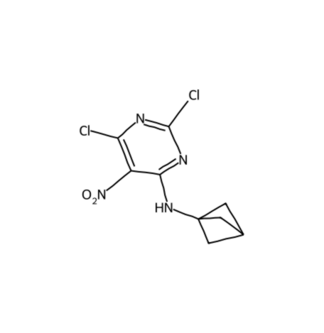 O=[N+]([O-])c1c(Cl)nc(Cl)nc1NC12CC(C1)C2